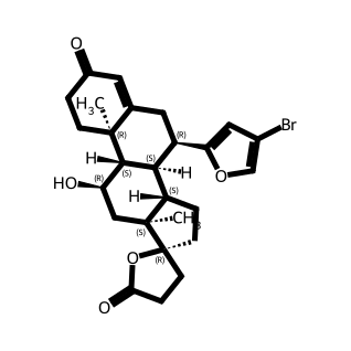 C[C@]12CCC(=O)C=C1C[C@@H](c1cc(Br)co1)[C@@H]1[C@@H]2[C@H](O)C[C@@]2(C)[C@H]1CC[C@@]21CCC(=O)O1